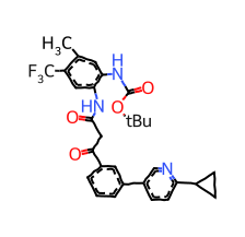 Cc1cc(NC(=O)OC(C)(C)C)c(NC(=O)CC(=O)c2cccc(-c3ccc(C4CC4)nc3)c2)cc1C(F)(F)F